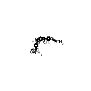 COCCOc1ccc(-c2cc3ccc(S(=O)(=O)NC4CCC(C(=O)N5CCOC[C@@H]5C)CC4)cc3n2C)cc1